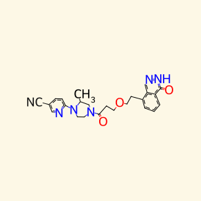 CC1CN(C(=O)CCOCCc2cccc3c(=O)[nH]ncc23)CCN1c1ccc(C#N)cn1